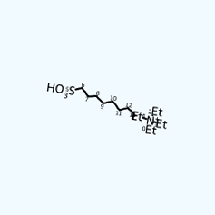 CC[N+](CC)(CC)CC.O=S(=O)(O)CCCCCCCF